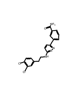 NC(=O)c1cccc(-c2ccc(NCCc3ccc(Cl)c(Cl)c3)nn2)c1